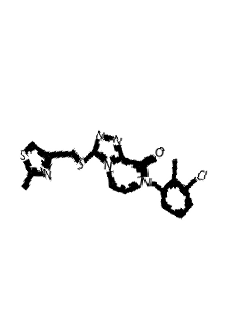 Cc1nc(CSc2nnc3c(=O)n(-c4cccc(Cl)c4C)ccn23)cs1